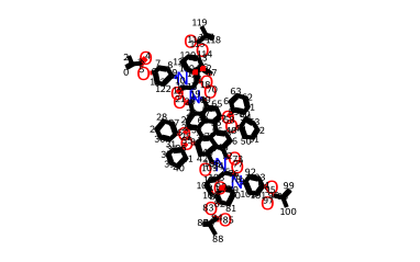 C=C(C)C(=O)Oc1ccc(N(C(=O)C(c2ccco2)N2C(=O)c3cc(Oc4ccccc4)c4c5c(Oc6ccccc6)cc6c7c(cc(Oc8ccccc8)c(c8c(Oc9ccccc9)cc(c3c48)C2=O)c75)C(=O)N(C(C(=O)N(c2ccc(OC(=O)C(=C)C)cc2)c2ccc(OC(=O)C(=C)C)cc2)c2ccco2)C6=O)c2ccc(OC(=O)C(=C)C)cc2)cc1